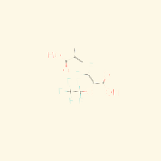 C=C(C)C(=O)O.O=C(O)C(OC(F)(F)C(F)(F)F)=C(F)F